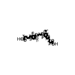 COc1cc2sc(CC[C@H](C)C(=O)O)cc2c(F)c1OCCCOc1c(OC)cc2sc(CC[C@H](C)C(=O)O)cc2c1F